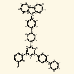 Cc1cccc(-c2nc(-c3ccc(-c4ccccc4)cc3)nc(-c3ccc(-c4ccc(-n5c6ccccc6c6ccccc65)cc4)cc3)n2)c1